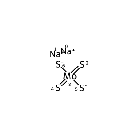 [Na+].[Na+].[S]=[Mo](=[S])([S-])[S-]